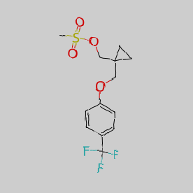 CS(=O)(=O)OCC1(COc2ccc(C(F)(F)F)cc2)CC1